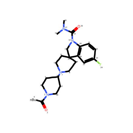 CCCCC(=O)N1CCC(N2CCC3(CC2)CN(C(=O)N(C)C)c2ccc(F)cc23)CC1